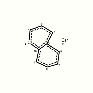 [Cs+].[c-]1cccc2ccccc12